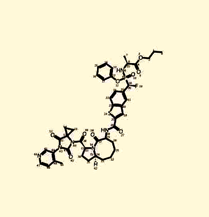 CCCOC(=O)[C@H](C)NP(=O)(Oc1ccccc1)[C@@H](F)c1ccc2sc(C(=O)NC3CCCC[C@H]4CC[C@@H](C(=O)N5C(=O)N(c6cnccc6C)C(=O)C56CC6)N4C3=O)cc2c1